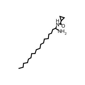 CCCCCCCCCCCCCCCCCC(N)NC(=O)C1CC1